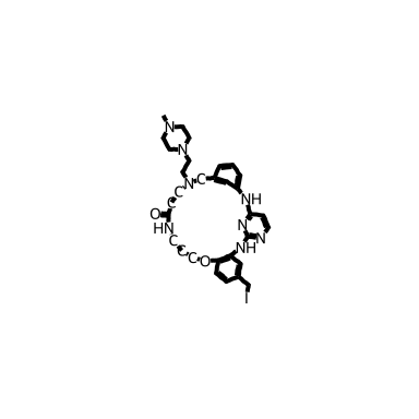 CN1CCN(CCN2CCC(=O)NCCCOc3ccc(CI)cc3Nc3nccc(n3)Nc3cccc(c3)C2)CC1